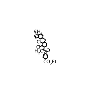 C=C(C(=O)N1CCC(C(=O)OCC)CC1)c1ccc(Sc2ccc3c(ccn3C)c2)c(Cl)c1Cl